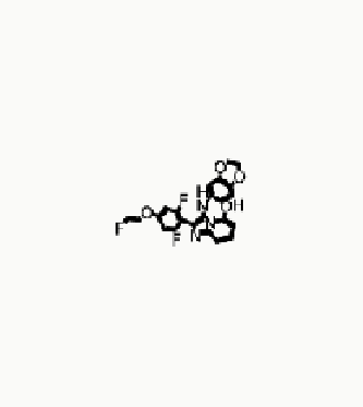 Oc1cccc2nc(-c3c(F)cc(OCCF)cc3F)c(Nc3ccc4c(c3)OCCO4)n12